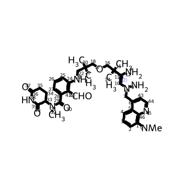 CNc1cccc2c(CN(N)/C=C(\N)C(C)(C)COCC(C)(C)CNc3cccc(C(=O)N(C)C4CCC(=O)NC4=O)c3C=O)ccnc12